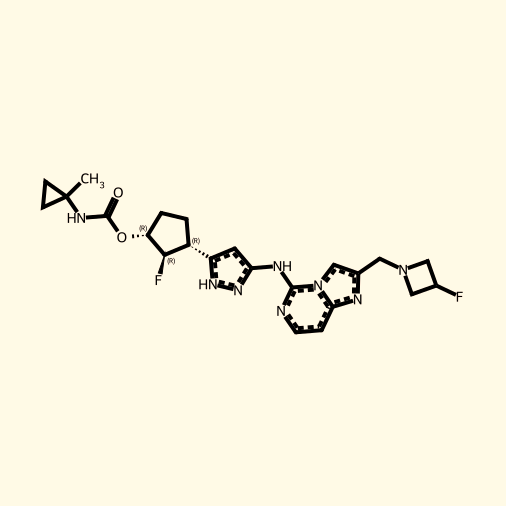 CC1(NC(=O)O[C@@H]2CC[C@H](c3cc(Nc4nccc5nc(CN6CC(F)C6)cn45)n[nH]3)[C@H]2F)CC1